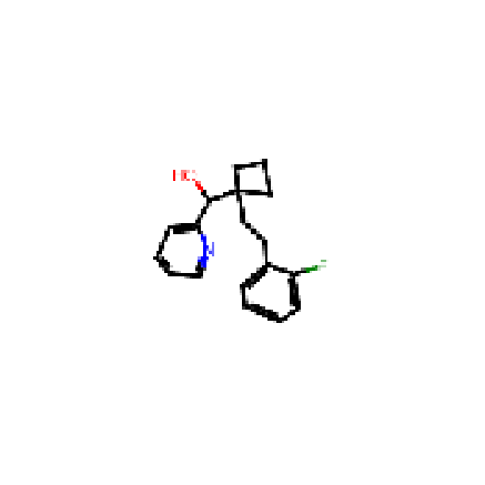 OC(c1ccccn1)C1(CCc2ccccc2F)CCC1